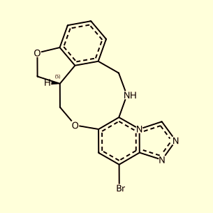 Brc1cc2c(n3cnnc13)NCc1cccc3c1[C@@H](CO3)CO2